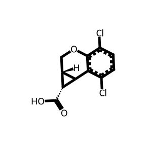 O=C(O)[C@H]1C2c3c(Cl)ccc(Cl)c3OC[C@H]21